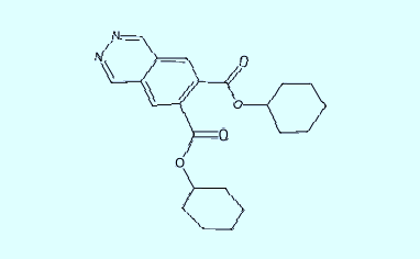 O=C(OC1CCCCC1)c1cc2cnncc2cc1C(=O)OC1CCCCC1